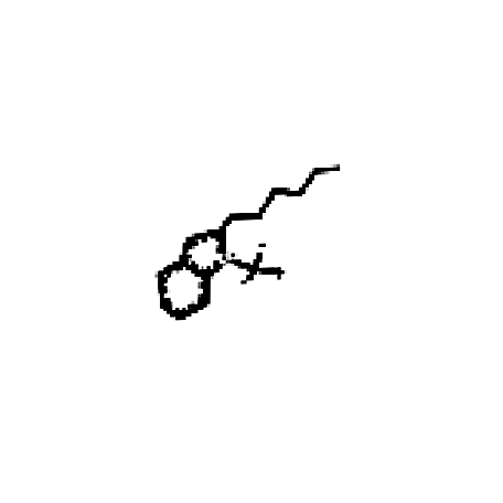 CCCCCCc1cc2ccccc2[s+]1C(F)(F)F